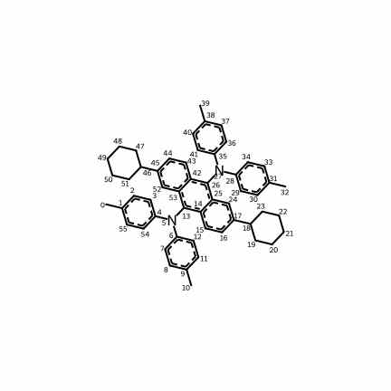 Cc1ccc(N(c2ccc(C)cc2)c2c3ccc(C4CCCCC4)cc3c(N(c3ccc(C)cc3)c3ccc(C)cc3)c3ccc(C4CCCCC4)cc23)cc1